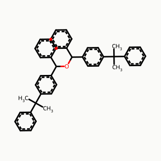 CC(C)(c1ccccc1)c1ccc(C(OC(c2ccccc2)c2ccc(C(C)(C)c3ccccc3)cc2)c2ccccc2)cc1